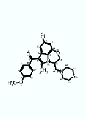 COc1ccc(C(=O)c2c(C)n3c4c(cc(Cl)cc24)OCC3CN2CCSCC2)cc1